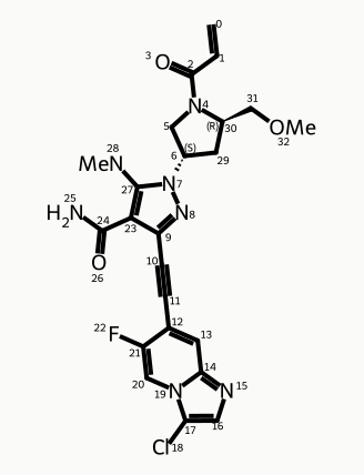 C=CC(=O)N1C[C@@H](n2nc(C#Cc3cc4ncc(Cl)n4cc3F)c(C(N)=O)c2NC)C[C@@H]1COC